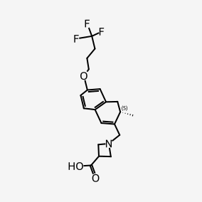 C[C@H]1Cc2cc(OCCCC(F)(F)F)ccc2C=C1CN1CC(C(=O)O)C1